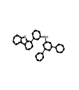 c1ccc(-c2cc(Nc3cccc(-c4cccc5c4sc4ccccc45)c3)cc(-c3ccccc3)c2)cc1